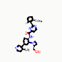 COc1cccc(F)c1-c1nccc(C(=O)Nc2ccc(-c3cnccc3C#N)cc2N2CC[C@H]2CO)n1